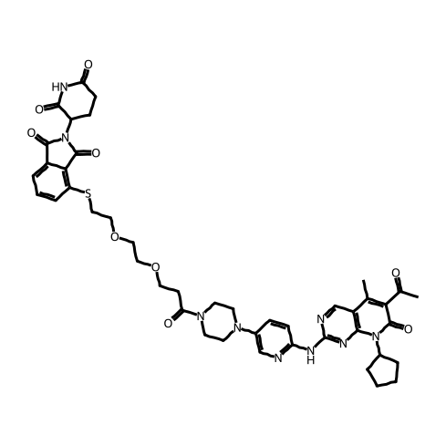 CC(=O)c1c(C)c2cnc(Nc3ccc(N4CCN(C(=O)CCOCCOCCSc5cccc6c5C(=O)N(C5CCC(=O)NC5=O)C6=O)CC4)cn3)nc2n(C2CCCC2)c1=O